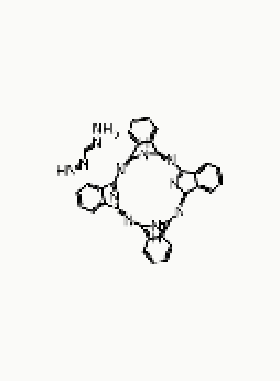 N=N/C=N/N.c1ccc2c(c1)-c1nc-2nc2[nH]c(nc3nc(nc4[nH]c(n1)c1ccccc41)-c1ccccc1-3)c1ccccc21